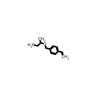 C=Cc1ccc(COC(C)CN)cc1